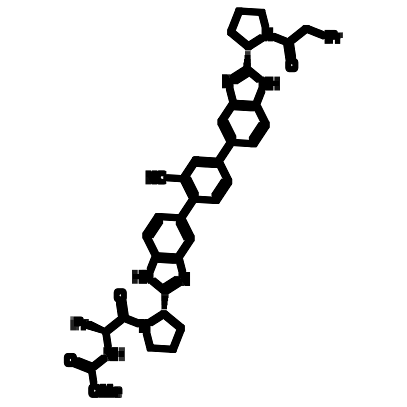 COC(=O)N[C@H](C(=O)N1CCC[C@H]1c1nc2cc(-c3ccc(-c4ccc5[nH]c([C@@H]6CCCN6C(=O)CC(C)C)nc5c4)cc3C#N)ccc2[nH]1)C(C)C